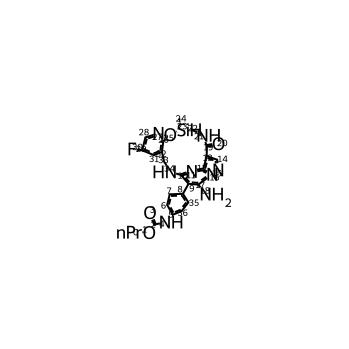 CCCOC(=O)Nc1ccc(-c2c3nc4c(cnn4c2N)C(=O)NC[Si@H](C)Oc2ncc(F)cc2CN3)cc1